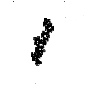 O=C(c1ccc(-c2cncc(C(F)(F)F)n2)cn1)N1CCC[C@@H]1c1ccnc(NS(=O)(=O)C2CC2)n1